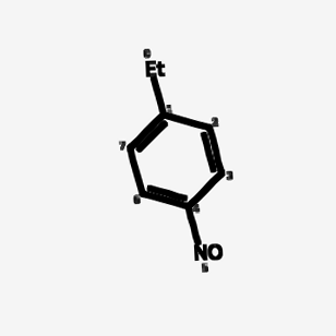 CCc1ccc(N=O)cc1